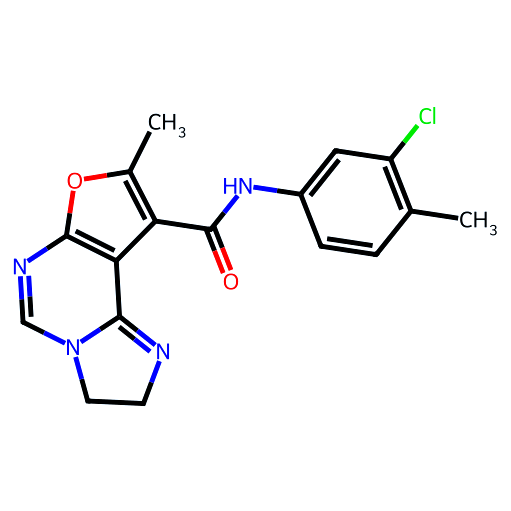 Cc1ccc(NC(=O)c2c(C)oc3c2C2=NCCN2C=N3)cc1Cl